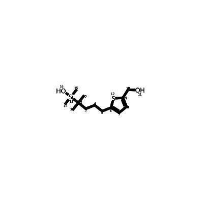 CC(C)(CCCc1ccc(CO)s1)[Si](C)(C)O